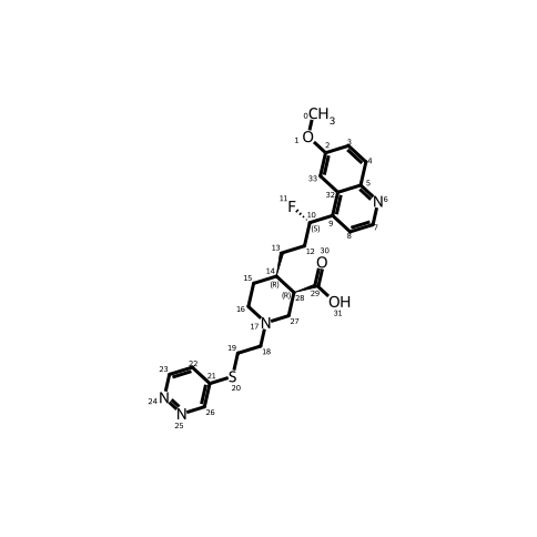 COc1ccc2nccc([C@@H](F)CC[C@@H]3CCN(CCSc4ccnnc4)C[C@@H]3C(=O)O)c2c1